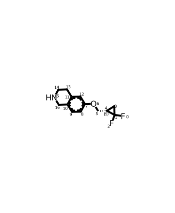 FC1(F)C[C@H]1COc1ccc2c(c1)CCNC2